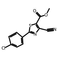 COC(=O)c1sc(-c2ccc(Cl)cc2)nc1C#N